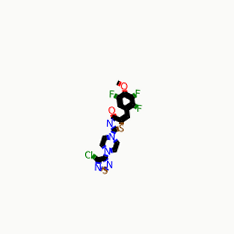 COc1c(F)cc(C=C2SC(N3CCN(c4nsnc4Cl)CC3)=NC2=O)c(F)c1F